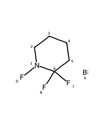 FN1CCCCC1(F)F.[B]